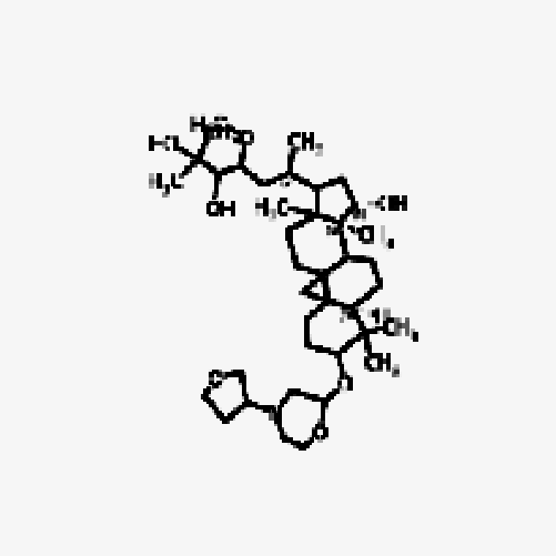 COC(C[C@@H](C)C1C[C@H](O)[C@@]2(C)C3CC[C@H]4C(C)(C)C(OC5CN(C6CCOC6)CCO5)CCC45CC35CCC12C)C(O)C(C)(C)O